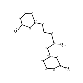 CC1CCCN(CCCC(C)CN2CCCC(C)C2)C1